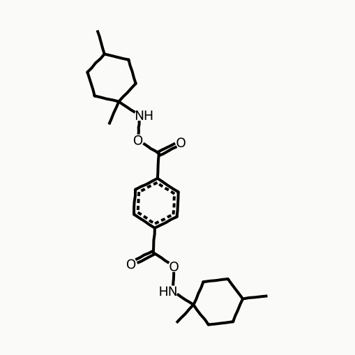 CC1CCC(C)(NOC(=O)c2ccc(C(=O)ONC3(C)CCC(C)CC3)cc2)CC1